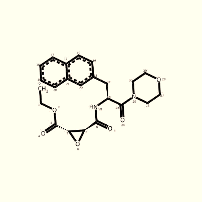 CCOC(=O)[C@H]1O[C@@H]1C(=O)N[C@@H](Cc1ccc2ccccc2c1)C(=O)N1CCOCC1